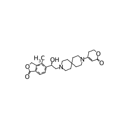 Cc1c([C@@H](O)CN2CCC3(CC2)CCN(C2=CC(=O)OCC2)CC3)ccc2c1COC2=O